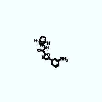 Nc1cccc(-c2cnc(C(=O)N[C@@H]3C[C@H]4CC[C@@H]3N4)o2)c1